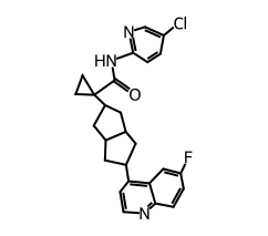 O=C(Nc1ccc(Cl)cn1)C1(C2CC3CC(c4ccnc5ccc(F)cc45)CC3C2)CC1